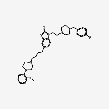 COc1ccccc1N1CCN(CCCCc2ccc3c(c2)sc(=O)n3CCN2CCC(Cc3ccc(F)cc3)CC2)CC1